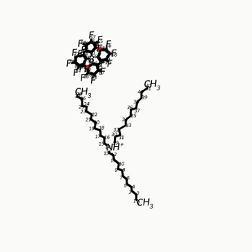 CCCCCCCCCCCCCC[NH+](CCCCCCCCCCCCCC)CCCCCCCCCCCCCC.Fc1c(F)c(F)c([B-](c2c(F)c(F)c(F)c(F)c2F)(c2c(F)c(F)c(F)c(F)c2F)c2c(F)c(F)c(F)c(F)c2F)c(F)c1F